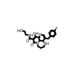 O=C(NCCO)C1=C(O)C2=NC=C(Cc3ccc(F)cc3)C3NCCCN(C1=O)C23